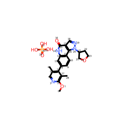 COc1ncc(C)c(-c2ccc3c(c2)[nH]c(=O)c2cnn(C4CCOC4)c23)c1C.O=P(O)(O)O